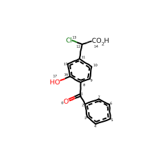 O=C(c1ccccc1)c1ccc(C(Cl)C(=O)O)cc1O